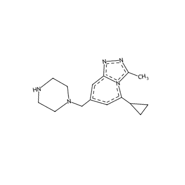 Cc1nnc2cc(CN3CCNCC3)cc(C3CC3)n12